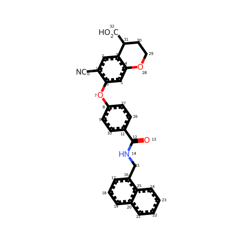 N#Cc1cc2c(cc1Oc1ccc(C(=O)NCc3cccc4ccccc34)cc1)OCCC2C(=O)O